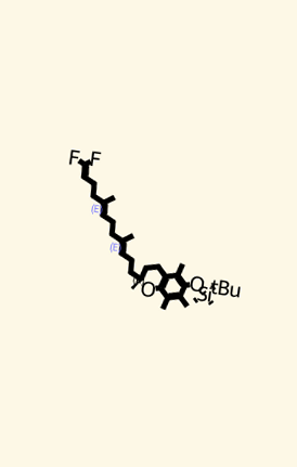 C/C(=C\CC/C(C)=C/CC[C@]1(C)CCc2c(C)c(O[Si](C)(C)C(C)(C)C)c(C)c(C)c2O1)CCC=C(F)F